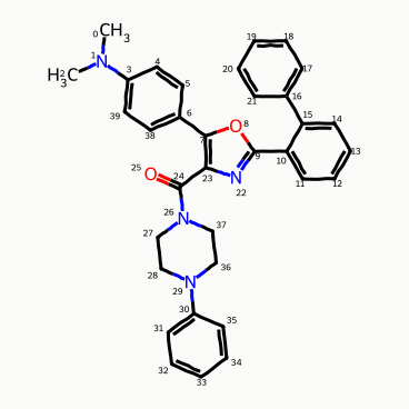 CN(C)c1ccc(-c2oc(-c3ccccc3-c3ccccc3)nc2C(=O)N2CCN(c3ccccc3)CC2)cc1